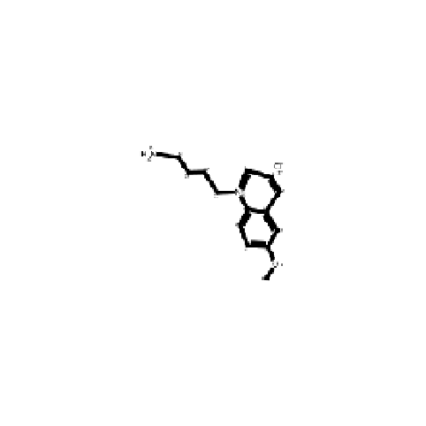 COc1ccc2c(ccc[n+]2CCCCN)c1.[Cl-]